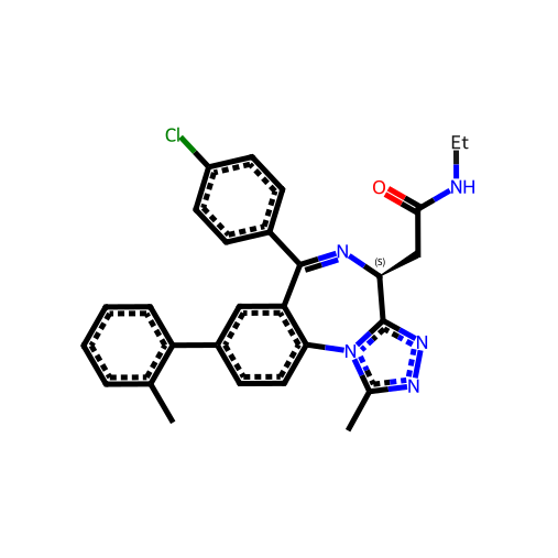 CCNC(=O)C[C@@H]1N=C(c2ccc(Cl)cc2)c2cc(-c3ccccc3C)ccc2-n2c(C)nnc21